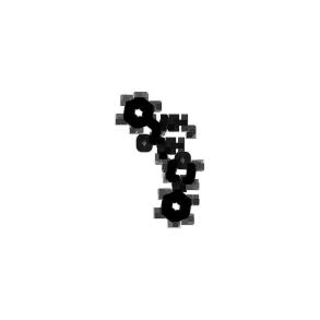 N[C@H](C(=O)NC[C@H]1CN(c2ccccc2)CCO1)c1ccccc1